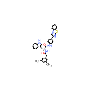 Cc1cc(C)cc(CC(=O)N[C@H](Cc2c[nH]c3ccccc23)C(=O)Nc2ccc(-c3cn4c(n3)sc3ccccc34)cc2)c1